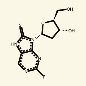 OC[C@@H]1O[C@@H](n2c(=S)[nH]c3cnc(F)nc32)C[C@H]1O